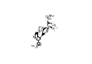 C[C@H]1[C@@H](CNC(=O)OC(C)(C)C)[C@@H]1CN(C)c1ccc(-c2cc(-c3cnn(C)c3)cn3ncc(C#N)c23)cn1